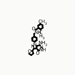 Cc1ccc(C)c(C(=O)NCc2ccc(-n3nc(C4CCCO4)c4c(=O)[nH]nc(N)c43)cc2)c1